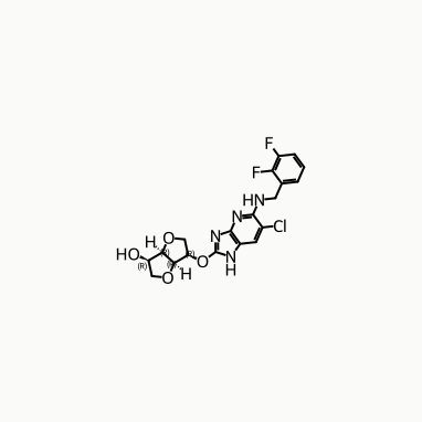 O[C@@H]1CO[C@H]2[C@@H]1OC[C@H]2Oc1nc2nc(NCc3cccc(F)c3F)c(Cl)cc2[nH]1